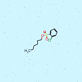 CCCCCCOS(=O)(=O)c1ccccc1Cl